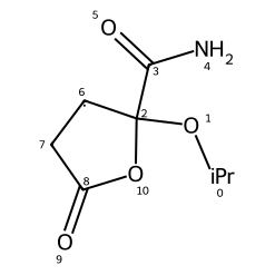 CC(C)OC1(C(N)=O)[CH]CC(=O)O1